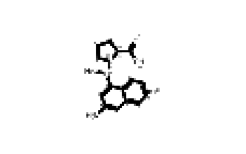 COc1cc(N)cc2ccccc12.Cl.O=C(O)[C@@H]1CCCN1